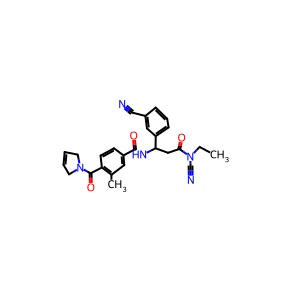 CCN(C#N)C(=O)CC(NC(=O)c1ccc(C(=O)N2CC=CC2)c(C)c1)c1cccc(C#N)c1